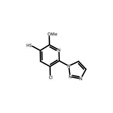 COc1nc(-n2ccnn2)c(Cl)cc1S